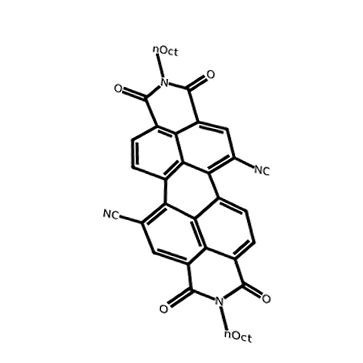 [C-]#[N+]c1cc2c3c(ccc4c5c(C#N)cc6c7c(ccc(c1c34)c75)C(=O)N(CCCCCCCC)C6=O)C(=O)N(CCCCCCCC)C2=O